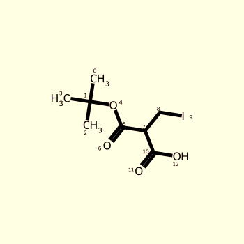 CC(C)(C)OC(=O)C(CI)C(=O)O